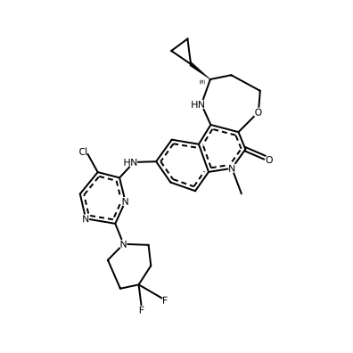 Cn1c(=O)c2c(c3cc(Nc4nc(N5CCC(F)(F)CC5)ncc4Cl)ccc31)N[C@@H](C1CC1)CCO2